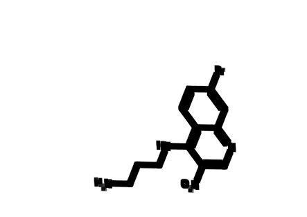 NCCCNc1c([N+](=O)[O-])cnc2cc(Br)ccc12